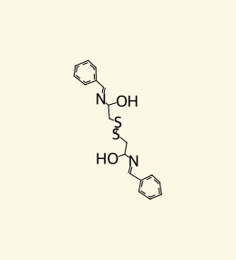 OC(CSSCC(O)N=Cc1ccccc1)N=Cc1ccccc1